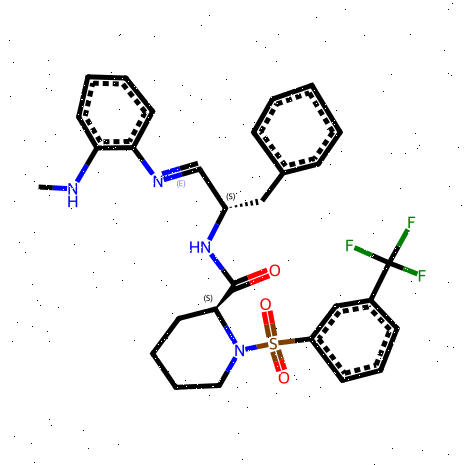 CNc1ccccc1/N=C/[C@H](Cc1ccccc1)NC(=O)[C@@H]1CCCCN1S(=O)(=O)c1cccc(C(F)(F)F)c1